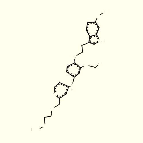 CCOc1cc(Nc2ccnc(COCCOC)c2)ccc1NCCc1c[nH]c2cc(OC)ccc12